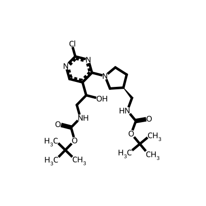 CC(C)(C)OC(=O)NCC(O)c1cnc(Cl)nc1N1CC[C@@H](CNC(=O)OC(C)(C)C)C1